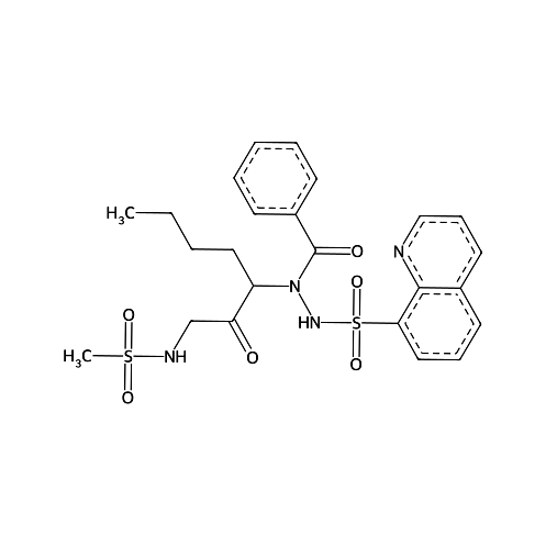 CCCCC(C(=O)CNS(C)(=O)=O)N(NS(=O)(=O)c1cccc2cccnc12)C(=O)c1ccccc1